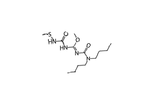 CCCCN(CCCC)C(=O)N=C(NC(=O)NSC)OC